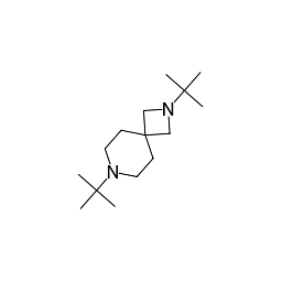 CC(C)(C)N1CCC2(CC1)CN(C(C)(C)C)C2